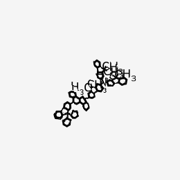 CC1(C)c2ccccc2-c2ccc(N(c3ccc4c(c3)C(C)(C)c3ccccc3-4)c3ccc4c(c3)C(C)(C)c3cc(-c5cc6c7ccccc7c(-c7ccc8c(c7)C(c7ccccc7)(c7ccccc7)c7ccccc7-8)cc6c6ccccc56)ccc3-4)cc21